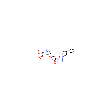 COc1cc(Oc2ccnc3cc(OC)c(OC)cc23)ccc1NC(=O)NN1CCC(Cc2ccccc2)CC1